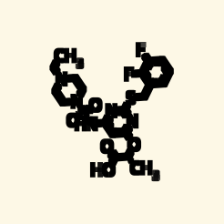 CCN1CCN(S(=O)(=O)Nc2cc(O[C@H](C)C(=O)O)nc(SCc3cccc(F)c3F)n2)CC1